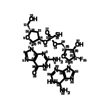 Nc1nc2c(ncn2[C@@H]2O[C@H](CO)C[C@H]2OP(=O)(S)OC[C@H]2O[C@@H](n3cnc4c3N=CNC4N)[C@@H](F)[C@@H]2O)c(=O)[nH]1